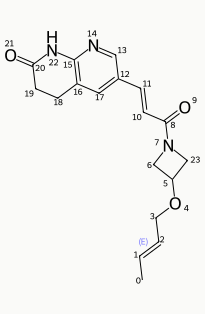 C/C=C/COC1CN(C(=O)C=Cc2cnc3c(c2)CCC(=O)N3)C1